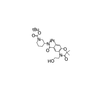 Cc1cc2c(cc1C(=O)N(C(C)C)C1CCCN(C(=O)OC(C)(C)C)C1)N(CCO)C(=O)C(C)(C)O2